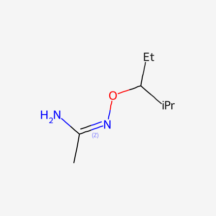 CCC(O/N=C(/C)N)C(C)C